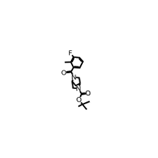 Cc1c(F)cccc1C(=O)N1CC2CC1CN2C(=O)OC(C)(C)C